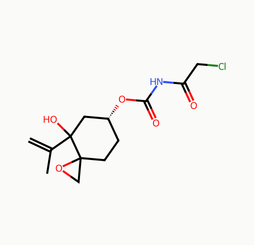 C=C(C)C1(O)C[C@H](OC(=O)NC(=O)CCl)CCC12CO2